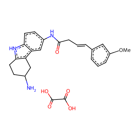 COc1cccc(/C=C/CC(=O)Nc2ccc3[nH]c4c(c3c2)CC(N)CC4)c1.O=C(O)C(=O)O